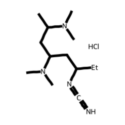 CCC(CC(CC(C)N(C)C)N(C)C)N=C=N.Cl